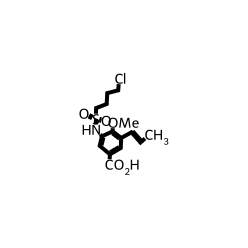 CC=Cc1cc(C(=O)O)cc(NS(=O)(=O)CCCCCl)c1OC